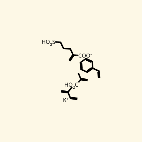 C=C(C)C(=O)O.C=C(CCCS(=O)(=O)O)C(=O)[O-].C=CC(=C)C.C=Cc1ccccc1.[K+]